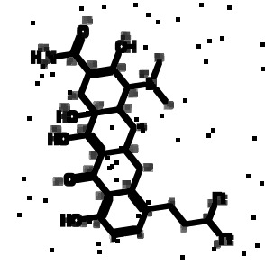 CCC(CC)CCc1ccc(O)c2c1CC1CC3C(N(C)C)C(O)=C(C(N)=O)CC3(O)C(O)=C1C2=O